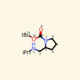 CC(C)NCC1CCCN1C(=O)OC(C)(C)C